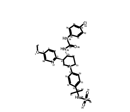 COc1ccc([C@@H]2CN(c3ccc(C(C)(C)NS(C)(=O)=O)cc3)CC[C@H]2NC(=O)Nc2ccc(Cl)cc2)nc1